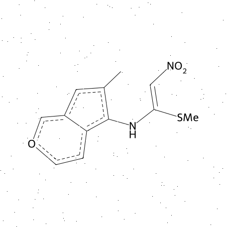 CSC(=C[N+](=O)[O-])Nc1c(C)cc2coccc1-2